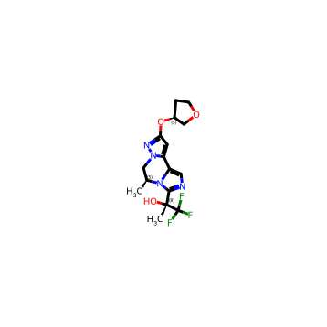 C[C@H]1Cn2nc(O[C@H]3CCOC3)cc2-c2cnc([C@@](C)(O)C(F)(F)F)n21